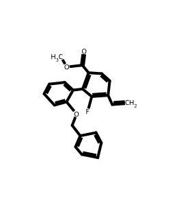 C=Cc1ccc(C(=O)OC)c(-c2ccccc2OCc2ccccc2)c1F